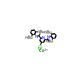 CCCCc1cccc(CCCC)c1N=C(C)c1cc(C)cc(C(C)=Nc2c(CCCC)cccc2CCCC)n1.[Cl-].[Cl-].[Co+2]